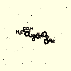 CCOc1ccccc1O[C@@H]1CCCN(c2ncc(C(=O)NCc3ccc(C(C)C(=O)O)cc3)cn2)C1